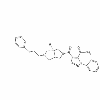 NC(=O)c1c(C(=O)N2CC3CN(CC[CH]c4ccccc4)C[C@H]3C2)cnn1-c1ccccc1